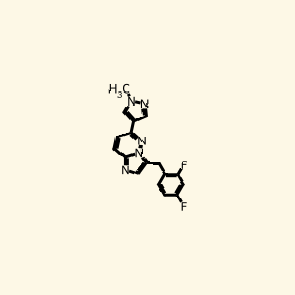 Cn1cc(-c2ccc3ncc(Cc4ccc(F)cc4F)n3n2)cn1